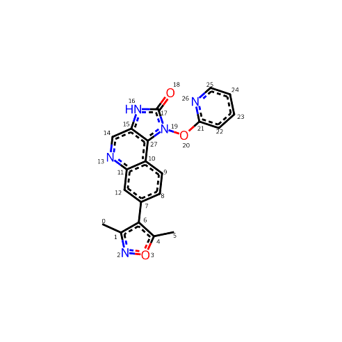 Cc1noc(C)c1-c1ccc2c(c1)ncc1[nH]c(=O)n(Oc3ccccn3)c12